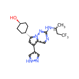 C[C@@H](CC(F)(F)F)Nc1ncc2c(-c3cn[nH]c3)cc([C@H]3CC[C@H](O)CC3)n2n1